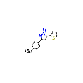 CC(C)(C)c1ccc(C2=NNC(c3cccs3)C2)cc1